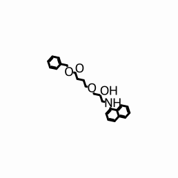 O=C(CCCOCC(O)CNc1cccc2ccccc12)OCc1ccccc1